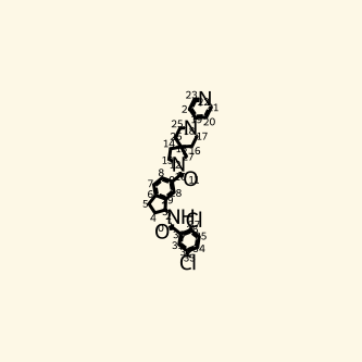 O=C(NC1CCc2ccc(C(=O)N3CCC4(CCN(c5ccncc5)CC4)C3)cc21)c1cc(Cl)ccc1Cl